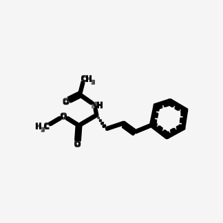 COC(=O)[C@@H](C/C=C/c1ccccc1)NC(C)=O